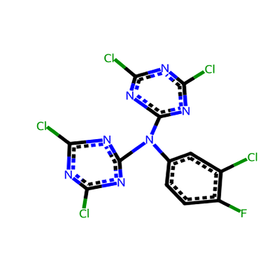 Fc1ccc(N(c2nc(Cl)nc(Cl)n2)c2nc(Cl)nc(Cl)n2)cc1Cl